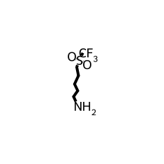 NCCCCCS(=O)(=O)C(F)(F)F